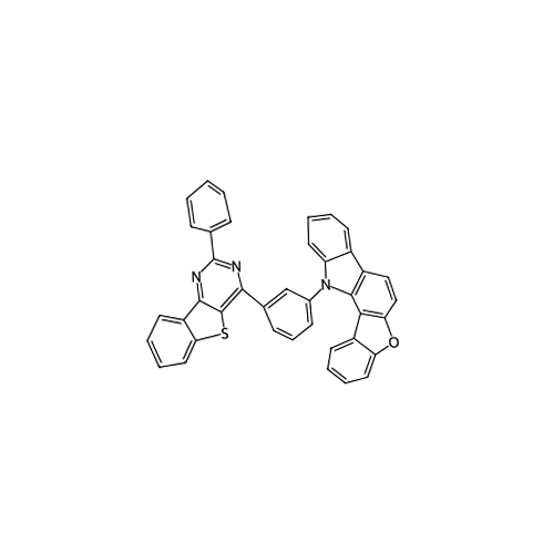 c1ccc(-c2nc(-c3cccc(-n4c5ccccc5c5ccc6oc7ccccc7c6c54)c3)c3sc4ccccc4c3n2)cc1